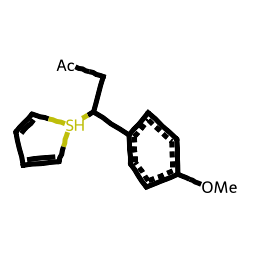 COc1ccc(C(CC(C)=O)[SH]2C=CC=C2)cc1